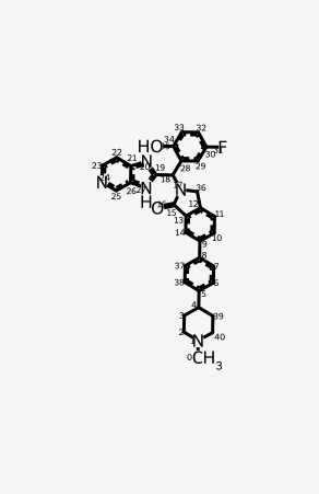 CN1CCC(c2ccc(-c3ccc4c(c3)C(=O)N(C(c3nc5ccncc5[nH]3)c3cc(F)ccc3O)C4)cc2)CC1